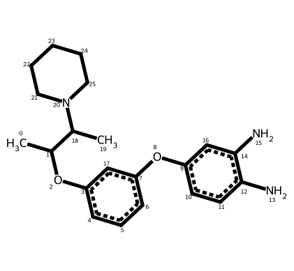 CC(Oc1cccc(Oc2ccc(N)c(N)c2)c1)C(C)N1CCCCC1